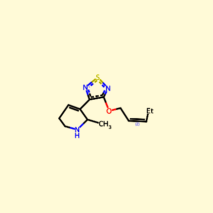 CC/C=C\COc1nsnc1C1=CCCNC1C